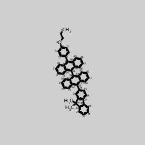 CCCOc1ccc(-c2c3ccccc3c(-c3c4ccccc4c(-c4ccc5c(c4)C(C)(C)c4ccccc4-5)c4ccccc34)c3ccccc23)cc1